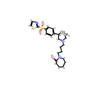 CCN(CCCCN1CCCCCC1=O)CC(C)c1ccc(S(=O)(=O)c2nccs2)cc1